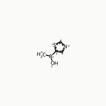 CB(O)c1cncs1